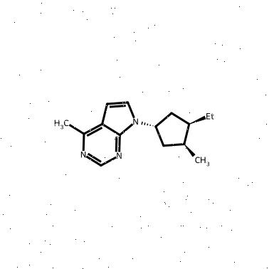 CC[C@@H]1C[C@@H](n2ccc3c(C)ncnc32)C[C@@H]1C